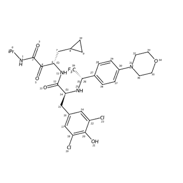 CC(C)NC(=O)C(=O)[C@H](CC1CC1)NC(=O)[C@H](Cc1cc(Cl)c(O)c(Cl)c1)N[C@@H](c1ccc(N2CCOCC2)cc1)C(F)(F)F